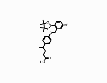 CC(CCC(=O)O)c1ccc(OCc2cc(F)ccc2B2OC(C)(C)C(C)(C)O2)cc1